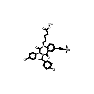 C[C@H](c1ccc(Cl)cc1)N1C(=O)c2cc(C#C[Si](C)(C)C)ccc2N(CCCCC(=O)OC(C)(C)C)C(=O)[C@@H]1c1ccc(Cl)cc1